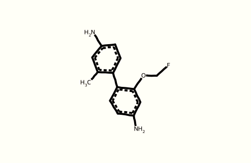 Cc1cc(N)ccc1-c1ccc(N)cc1OCF